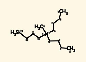 CCCC[N+](C)(CCCC)CCC[SiH3]